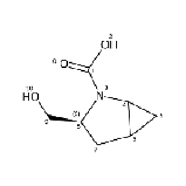 O=C(O)N1C2CC2C[C@H]1CO